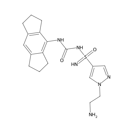 N=S(=O)(NC(=O)Nc1c2c(cc3c1CCC3)CCC2)c1cnn(CCN)c1